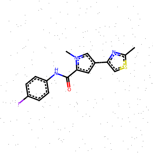 Cc1nc(-c2cc(C(=O)Nc3ccc(I)cc3)n(C)c2)cs1